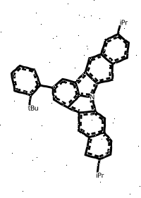 CC(C)c1ccc2cc3c(cc2c1)c1cc(-c2ccccc2C(C)(C)C)cc2c4cc5cc(C(C)C)ccc5cc4n3c12